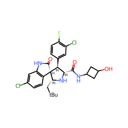 CC(C)(C)C[C@H]1N[C@@H](C(=O)NC2CC(O)C2)[C@H](c2ccc(F)c(Cl)c2)[C@@]12C(=O)Nc1cc(Cl)ccc12